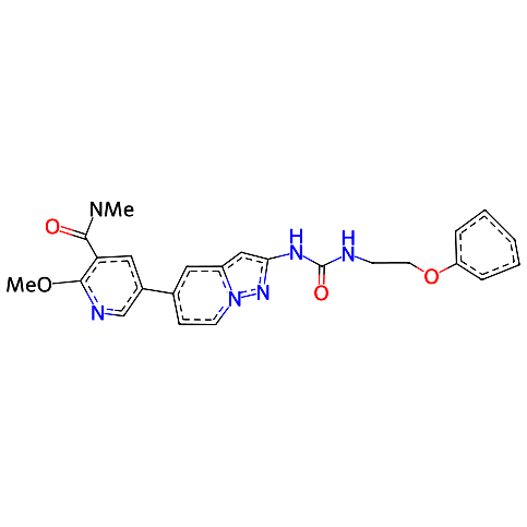 CNC(=O)c1cc(-c2ccn3nc(NC(=O)NCCOc4ccccc4)cc3c2)cnc1OC